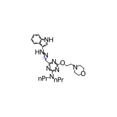 CCCN(CCC)c1nc(/C=N/Nc2c[nH]c3ccccc23)nc(OCCN2CCOCC2)n1